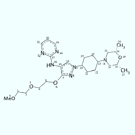 COCCOCCOc1nn(C2CCC(N3C[C@@H](C)O[C@@H](C)C3)CC2)cc1Nc1ncccn1